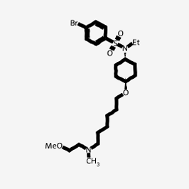 CCN([C@H]1CC[C@H](OCCCCCCN(C)CCOC)CC1)S(=O)(=O)c1ccc(Br)cc1